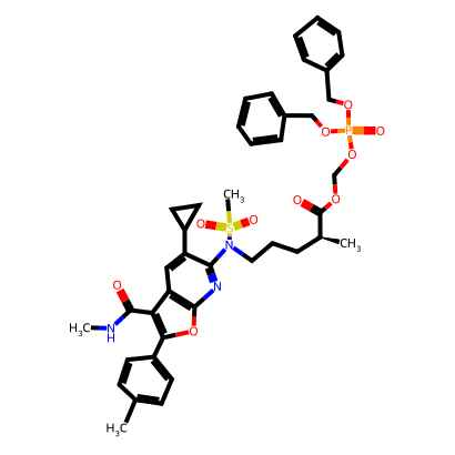 CNC(=O)c1c(-c2ccc(C)cc2)oc2nc(N(CCC[C@H](C)C(=O)OCOP(=O)(OCc3ccccc3)OCc3ccccc3)S(C)(=O)=O)c(C3CC3)cc12